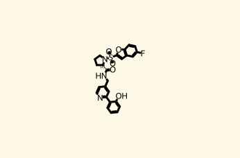 O=C(NCc1ccnc(-c2ccccc2O)c1)[C@@H]1CCCN1S(=O)(=O)c1cc2cc(F)ccc2o1